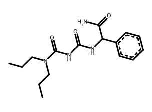 CCCN(CCC)C(=O)NC(=O)NC(C(N)=O)c1ccccc1